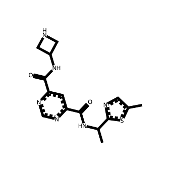 Cc1cnc(C(C)NC(=O)c2cc(C(=O)NC3CNC3)ncn2)s1